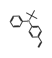 C=Cc1ccc(N(c2ccccc2)C(C)(C)C)cc1